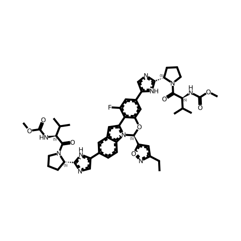 CCc1cc([C@@H]2Oc3cc(-c4cnc([C@@H]5CCCN5C(=O)[C@@H](NC(=O)OC)C(C)C)[nH]4)cc(F)c3-c3cc4cc(-c5cnc([C@@H]6CCCN6C(=O)[C@@H](NC(=O)OC)C(C)C)[nH]5)ccc4n32)on1